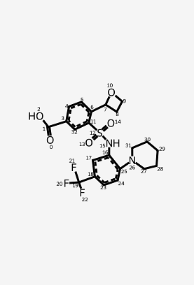 O=C(O)c1ccc(C2CCO2)c(S(=O)(=O)Nc2cc(C(F)(F)F)ccc2N2CCCCC2)c1